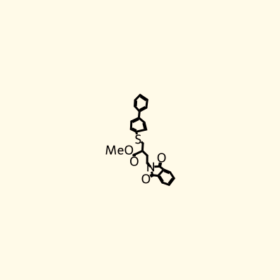 COC(=O)C(CCN1C(=O)c2ccccc2C1=O)CSc1ccc(-c2ccccc2)cc1